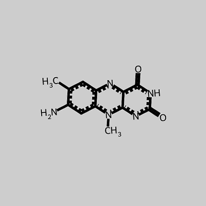 Cc1cc2nc3c(=O)[nH]c(=O)nc-3n(C)c2cc1N